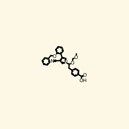 COCOC(Cc1ccc(C(=O)O)cc1)n1cc(C#N)c(-c2ccccc2OCc2ccccc2)c1